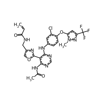 C=CC(=O)NCc1coc(-c2c(NC(C)=O)ncnc2Nc2ccc(Oc3cc(C(F)(F)F)nn3C)c(Cl)c2)n1